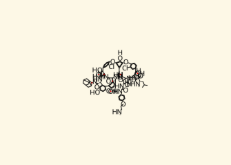 CNCCOc1ccc(NC(=O)NC(=O)C[C@@H]2NC(=O)[C@H](NC(=O)[C@@H](CC(C)C)NC)[C@H](O)c3ccc(c(Cl)c3)Oc3cc4cc(c3O)Oc3ccc(cc3Cl)[C@@H](O)[C@@H]3NC(=O)[C@H](NC(=O)[C@@H]4NC2=O)c2ccc(O)c(c2)-c2c(O)cc(O)cc2[C@@H](C(=O)NC2C4CC5CC(C4)CC2C5)NC3=O)cc1